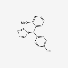 COc1ccccc1C(c1ccc(C#N)cc1)n1ccnc1